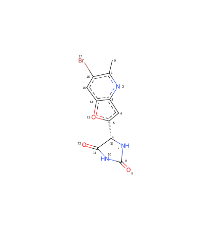 Cc1nc2cc([C@@H]3NC(=O)NC3=O)oc2cc1Br